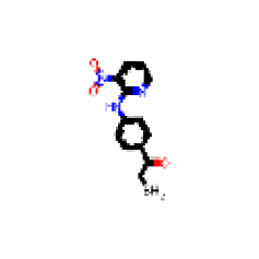 BCC(=O)c1ccc(Nc2ncccc2[N+](=O)[O-])cc1